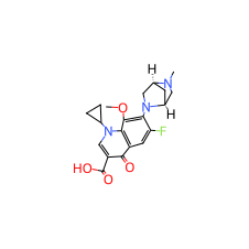 COc1c(N2C[C@@H]3C[C@H]2CN3C)c(F)cc2c(=O)c(C(=O)O)cn(C3CC3)c12